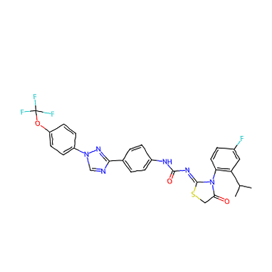 CC(C)c1cc(F)ccc1N1C(=O)CS/C1=N\C(=O)Nc1ccc(-c2ncn(-c3ccc(OC(F)(F)F)cc3)n2)cc1